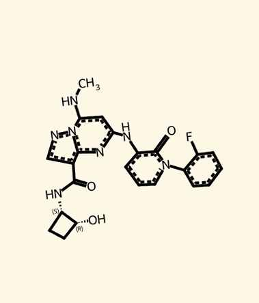 CNc1cc(Nc2cccn(-c3ccccc3F)c2=O)nc2c(C(=O)N[C@H]3CC[C@H]3O)cnn12